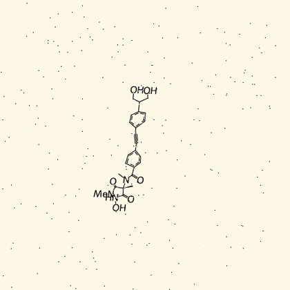 CNC(=O)[C@@](C)(C(=O)NO)N(C)C(=O)c1ccc(C#Cc2ccc(C(CO)CO)cc2)cc1